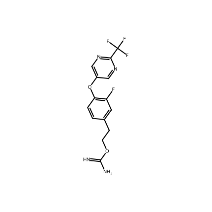 N=C(N)OCCc1ccc(Oc2cnc(C(F)(F)F)nc2)c(F)c1